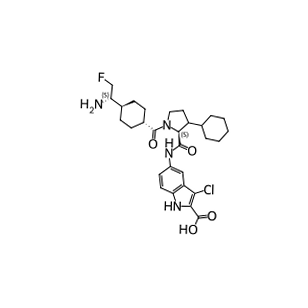 N[C@H](CF)[C@H]1CC[C@H](C(=O)N2CCC(C3CCCCC3)[C@H]2C(=O)Nc2ccc3[nH]c(C(=O)O)c(Cl)c3c2)CC1